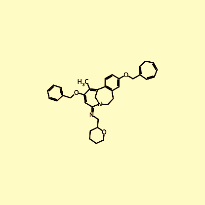 CC1=C2CN(CCc3cc(OCC4=CCC=CC=C4)ccc32)/C(=N\CC2CCCCO2)C=C1OCc1ccccc1